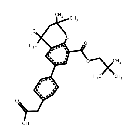 CC(C)(C)COC(=O)c1cc(-c2ccc(CC(=O)O)cc2)cc2c1OC(C)(C)CC2(C)C